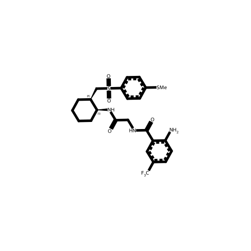 CSc1ccc(S(=O)(=O)C[C@@H]2CCCC[C@@H]2NC(=O)CNC(=O)c2cc(C(F)(F)F)ccc2N)cc1